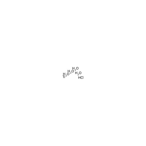 Cl.O.O.O.O.[Ti]